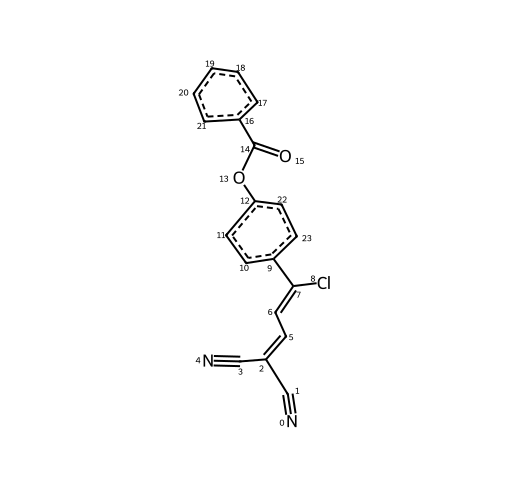 N#CC(C#N)=CC=C(Cl)c1ccc(OC(=O)c2ccccc2)cc1